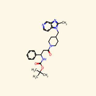 Cc1nc2cnccc2n1CC1CCN(C(=O)CC(NC(=O)OC(C)(C)C)c2ccccc2)CC1